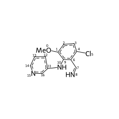 COc1ccc(Cl)c(C=N)c1Nc1cccnc1